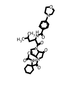 CC(=O)NC1(C(=O)N2CC(=O)C3C2CCN3C(=O)C(CC(C)C)NC(=O)c2ccc(N3CCOCC3)cc2)CCCCC1